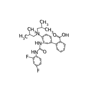 CC(C)CN(CC(C)C)c1ccc(-c2ccccc2C(=O)O)cc1NC(=O)Nc1ccc(F)cc1F